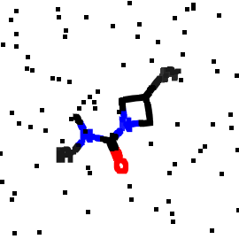 CC(C)C1CN(C(=O)N(C)C(C)C)C1